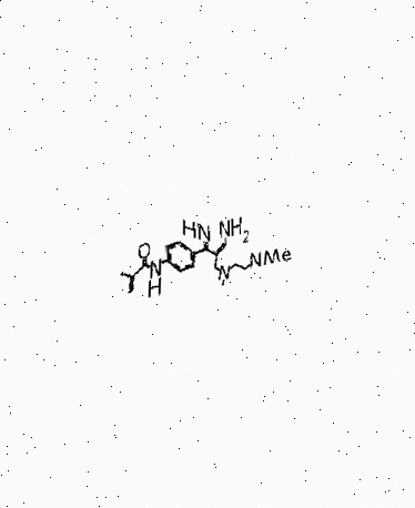 C=C(C)C(=O)Nc1ccc(C(=N)/C(=C\N)CN(C)CCNC)cc1